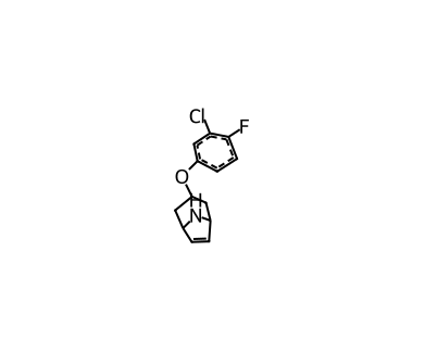 Fc1ccc(OC2CC3C=CC(C2)N3)cc1Cl